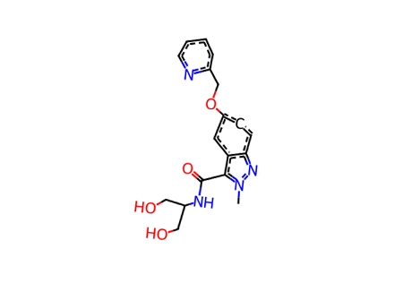 Cn1nc2ccc(OCc3ccccn3)cc2c1C(=O)NC(CO)CO